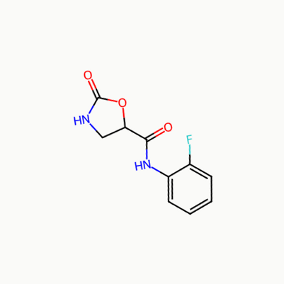 O=C1NCC(C(=O)Nc2ccccc2F)O1